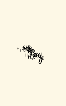 Cn1c2c(cc(Nc3ccc(C(=O)N4CCOCC4)cn3)c1=O)-c1cccc(-n3ncc4cc(C(C)(C)C)cc(F)c4c3=O)c1CC(O)C2